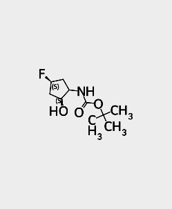 CC(C)(C)OC(=O)NC1C[C@H](F)C[C@@H]1O